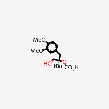 COc1ccc(C[C@](CO)(OC(=O)O)C(C)(C)C)cc1OC